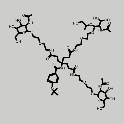 CC(=O)NC(C(O)O)C(OCCOCCNC(=O)CCC(CCC(=O)NCCOCCOC1OC(CO)C(O)C(O)C1NC(C)=O)(CCC(=O)NCCOCCOC1OC(CO)C(O)C(O)C1NC(C)=O)NC(=O)c1ccc(OC(C)(C)C)cc1)OC(C)CO